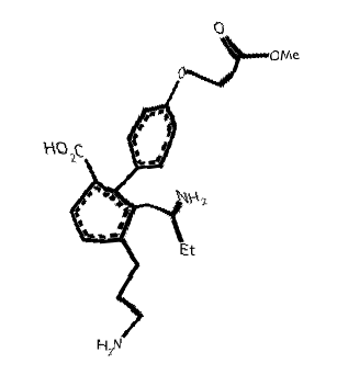 CCC(N)c1c(CCCN)ccc(C(=O)O)c1-c1ccc(OCC(=O)OC)cc1